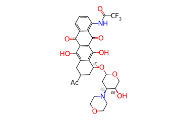 CC(=O)C1Cc2c(O)c3c(c(O)c2[C@@H](OC2C[C@H](N4CCOCC4)[C@H](O)CO2)C1)C(=O)c1c(NC(=O)C(F)(F)F)cccc1C3=O